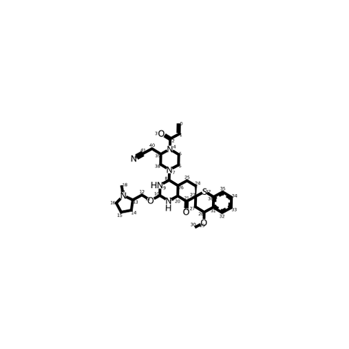 C=CC(=O)N1CCN(C2NC(OCC3CCCN3C)NC3C(=O)[C@@]4(CCC32)CC(OC)c2ccccc2S4)CC1CC#N